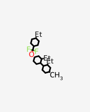 CCC1CCC(C(F)(F)OC2CCC(C3CCC(C)CC3CC)C(CC)C2)CC1